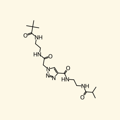 CC(C)C(=O)NCCNC(=O)c1cn(CC(=O)NCCNC(=O)C(C)(C)C)nn1